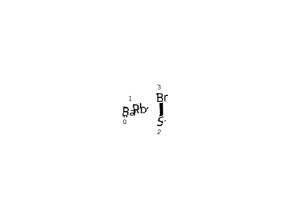 [Ba].[Rb].[S]Br